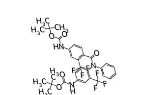 CC(C)(C)OC(=O)Nc1ccc(C(=O)N(c2ccccc2)c2ccc(NC(=O)OC(C)(C)C)cc2C(F)(F)F)c(C(F)(F)F)c1